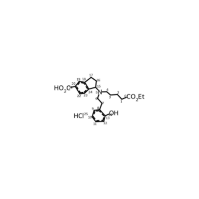 CCOC(=O)CCCCN(CCc1ccccc1O)C1CCc2cc(C(=O)O)ccc21.Cl